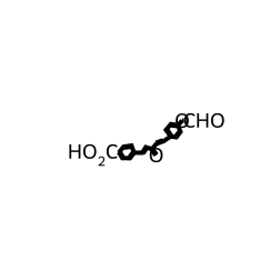 O=COc1ccc(/C=C/C(=O)/C=C/c2ccc(C(=O)O)cc2)cc1